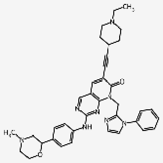 CCN1CCC(C#Cc2cc3cnc(Nc4ccc(C5CN(C)CCO5)cc4)nc3n(Cc3nccn3-c3ccccc3)c2=O)CC1